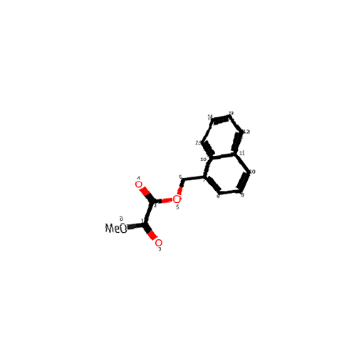 COC(=O)C(=O)OCc1cccc2ccccc12